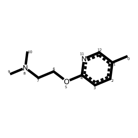 Cc1ccc(OCCN(C)C)nc1